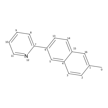 Cc1ccc2cc(-c3ccccn3)ccc2c1